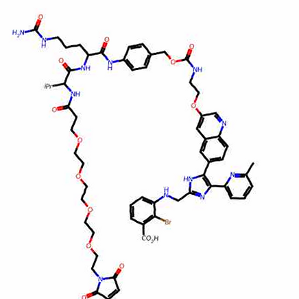 Cc1cccc(-c2nc(CNc3cccc(C(=O)O)c3Br)[nH]c2-c2ccc3ncc(OCCNC(=O)OCc4ccc(NC(=O)C(CCCNC(N)=O)NC(=O)C(NC(=O)CCOCCOCCOCCOCCN5C(=O)C=CC5=O)C(C)C)cc4)cc3c2)n1